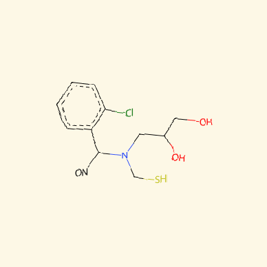 O=NC(c1ccccc1Cl)N(CS)CC(O)CO